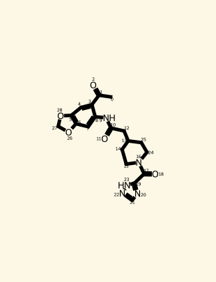 CC(=O)c1cc2c(cc1NC(=O)CC1CCN(C(=O)c3ncn[nH]3)CC1)OCO2